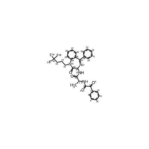 C[C@H](NC(=O)C(=O)c1ccccc1)C(=O)NC1N=C(c2ccccc2)c2ccccc2N(CCCC(F)(F)F)C1=O